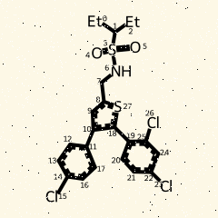 CCC(CC)S(=O)(=O)NCc1cc(-c2ccc(Cl)cc2)c(-c2ccc(Cl)cc2Cl)s1